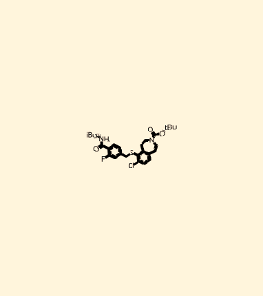 CC[C@H](C)NC(=O)c1ccc(CSc2c(Cl)ccc3c2CCN(C(=O)OC(C)(C)C)CC3)cc1F